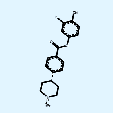 CCC[Si@H]1CC[C@H](c2ccc(C(=O)Oc3ccc(C#N)c(F)c3)cc2)CC1